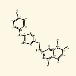 Cc1nc(NCc2ccc(Oc3ccc(F)cc3)nc2)nc2c1N=C[C@H](C)N2C